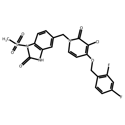 CS(=O)(=O)n1c(=O)[nH]c2cc(Cn3ccc(OCc4ccc(F)cc4F)c(Cl)c3=O)ccc21